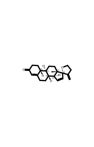 C=C1CCO[C@@]12C=C[C@H]1[C@@H]3CCC4=CC(=O)CC[C@@H]4[C@H]3CC[C@@]12C